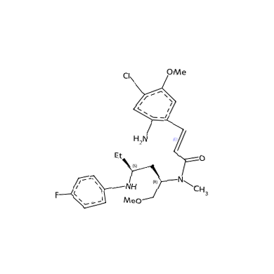 CC[C@@H](C[C@H](COC)N(C)C(=O)/C=C/c1cc(OC)c(Cl)cc1N)Nc1ccc(F)cc1